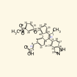 CC/C(=C(/c1ccc(/C=C/C(=O)O)cc1)c1ccc2[nH]ncc2c1)c1cccc(Oc2cccc(S(C)(=O)=O)c2)c1